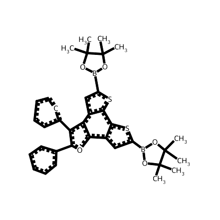 CC1(C)OB(c2cc3c4oc(-c5ccccc5)c(-c5ccccc5)c4c4cc(B5OC(C)(C)C(C)(C)O5)sc4c3s2)OC1(C)C